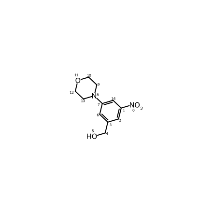 O=[N+]([O-])c1cc(CO)cc(N2CCOCC2)c1